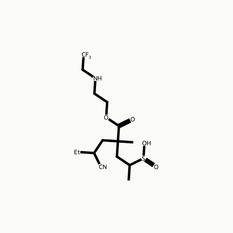 CCC(C#N)CC(C)(CC(C)S(=O)O)C(=O)OCCNCC(F)(F)F